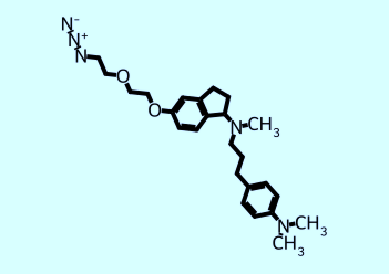 CN(C)c1ccc(CCCN(C)C2CCc3cc(OCCOCCN=[N+]=[N-])ccc32)cc1